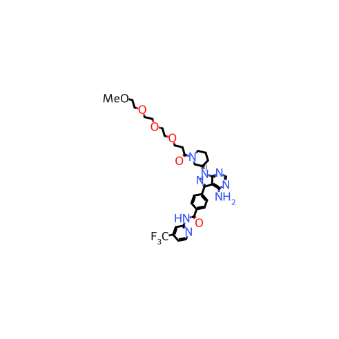 COCCOCCOCCOCCC(=O)N1CCC[C@@H](n2nc(-c3ccc(C(=O)Nc4cc(C(F)(F)F)ccn4)cc3)c3c(N)ncnc32)C1